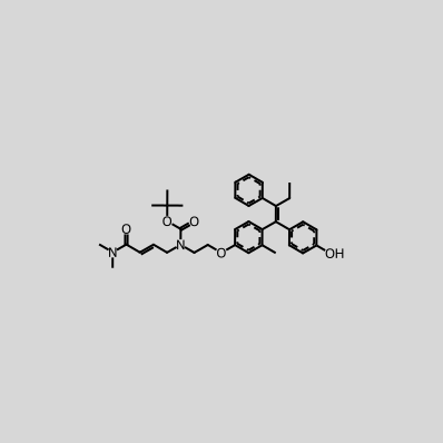 CC/C(=C(\c1ccc(O)cc1)c1ccc(OCCN(C/C=C/C(=O)N(C)C)C(=O)OC(C)(C)C)cc1C)c1ccccc1